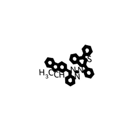 CC1(C)c2ccccc2-c2ccc(-c3nc(-n4c5ccccc5c5c6sc7ccccc7c6c6ccccc6c54)nc4ccccc34)cc21